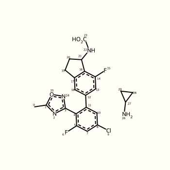 Cc1nc(-c2c(F)cc(Cl)cc2-c2cc(F)c3c(c2)CCC3NC(=O)O)no1.NC1CC1